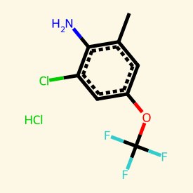 Cc1cc(OC(F)(F)F)cc(Cl)c1N.Cl